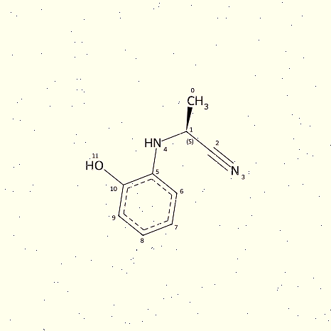 C[C@@H](C#N)Nc1ccccc1O